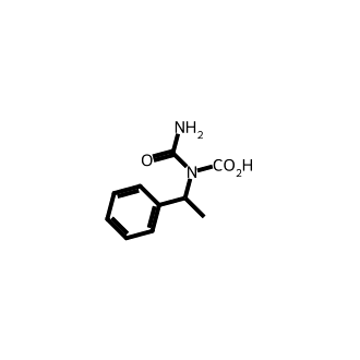 CC(c1ccccc1)N(C(N)=O)C(=O)O